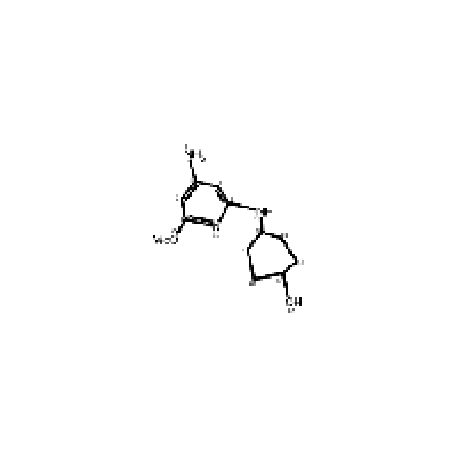 COc1cc(N)cc(NC2CCC(O)CC2)n1